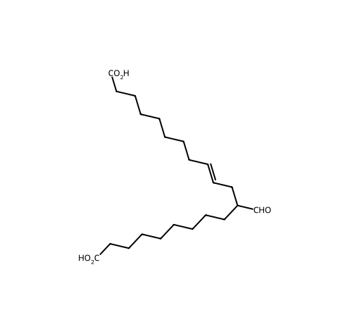 O=CC(CC=CCCCCCCCC(=O)O)CCCCCCCCC(=O)O